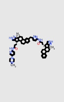 CN1CCN(c2ccc(NC(=O)CC[C@@H]3c4c[nH]nc4[C@@]4(C)CCC5c6cc(Cc7ccc(NC(=O)CC[C@@H]8c9c[nH]nc9[C@@]9(C)CCC%10c%11ccccc%11CCC%10C89)nn7)ccc6CCC5C34)nc2)CC1